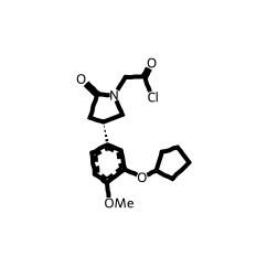 COc1ccc([C@@H]2CC(=O)N(CC(=O)Cl)C2)cc1OC1CCCC1